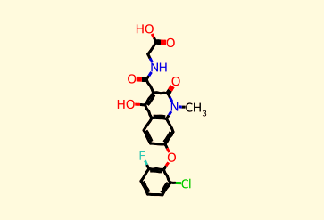 Cn1c(=O)c(C(=O)NCC(=O)O)c(O)c2ccc(Oc3c(F)cccc3Cl)cc21